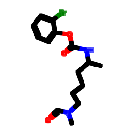 CC(CCCCN(C)C=O)NC(=O)Oc1ccccc1Br